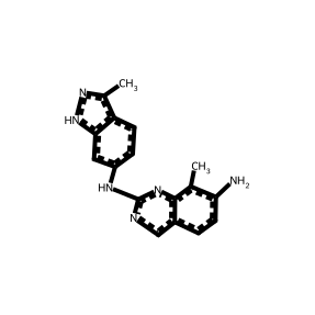 Cc1n[nH]c2cc(Nc3ncc4ccc(N)c(C)c4n3)ccc12